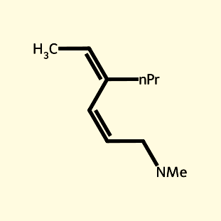 C/C=C(\C=C/CNC)CCC